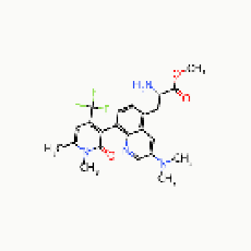 COC(=O)[C@@H](N)Cc1ccc(-c2c(C(F)(F)F)cc(C)n(C)c2=O)c2ncc(N(C)C)cc12